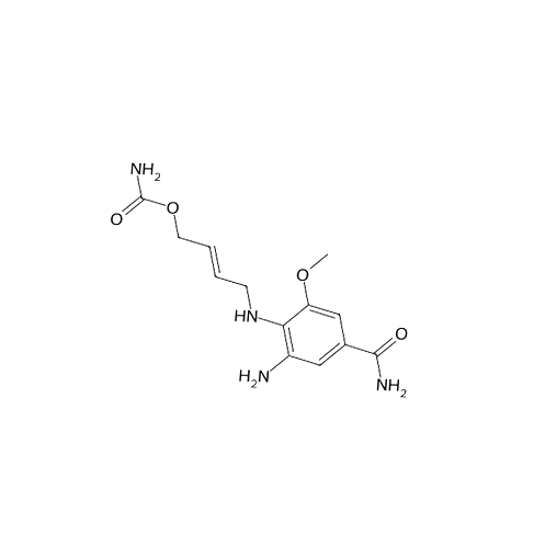 COc1cc(C(N)=O)cc(N)c1NCC=CCOC(N)=O